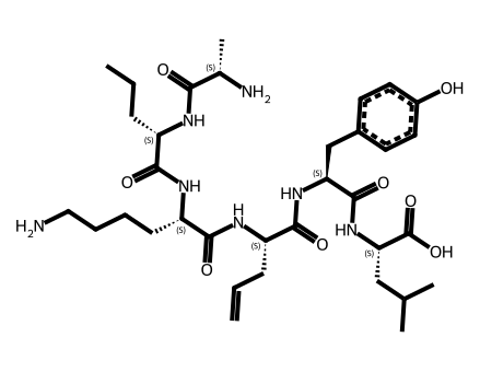 C=CC[C@H](NC(=O)[C@H](CCCCN)NC(=O)[C@H](CCC)NC(=O)[C@H](C)N)C(=O)N[C@@H](Cc1ccc(O)cc1)C(=O)N[C@@H](CC(C)C)C(=O)O